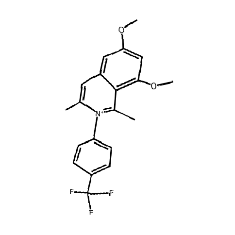 COc1cc(OC)c2c(C)[n+](-c3ccc(C(F)(F)F)cc3)c(C)cc2c1